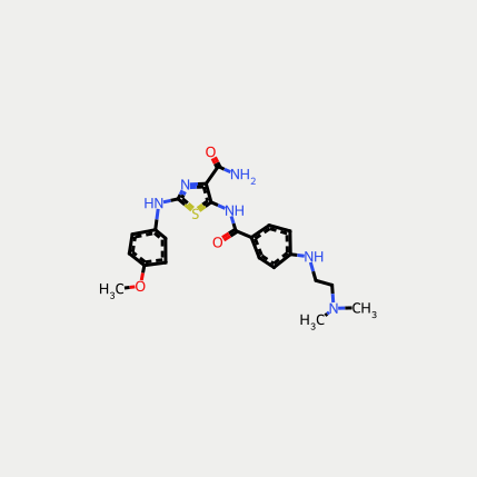 COc1ccc(Nc2nc(C(N)=O)c(NC(=O)c3ccc(NCCN(C)C)cc3)s2)cc1